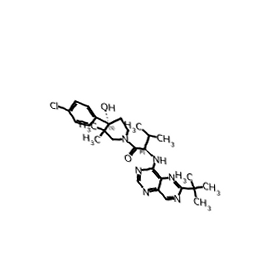 CC(C)[C@@H](Nc1ncnc2cnc(C(C)(C)C)nc12)C(=O)N1CC[C@](O)(c2ccc(Cl)cc2)C(C)(C)C1